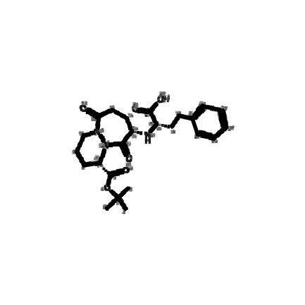 CC(C)(C)OC(=O)[C@@H]1CCCN2C(=O)CC[C@H](N[C@@H](CCc3ccccc3)C(=O)O)C(=O)N12